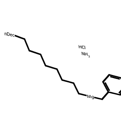 CCCCCCCCCCCCCCCCC[CH2][Mg][CH2]c1ccccc1.Cl.N